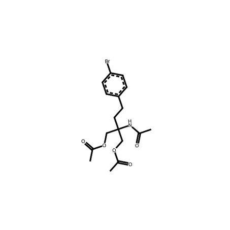 CC(=O)NC(CCc1ccc(Br)cc1)(COC(C)=O)COC(C)=O